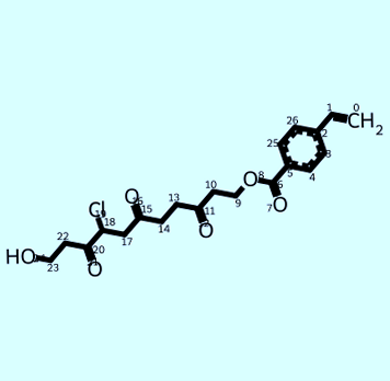 C=Cc1ccc(C(=O)OCCC(=O)CCC(=O)CC(Cl)C(=O)CCO)cc1